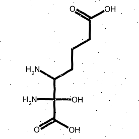 NC(CCCC(=O)O)C(N)(O)C(=O)O